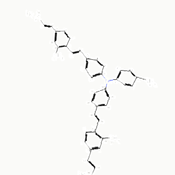 Cc1ccc(N(c2ccc(/C=C/c3ccc(/C=C/C(=O)O)cc3C)cc2)c2ccc(/C=C/c3ccc(/C=C/C(=O)O)cc3C)cc2)cc1